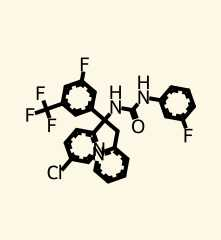 O=C(Nc1cccc(F)c1)NC(Cc1ccccn1)(c1cc(F)cc(C(F)(F)F)c1)c1ccc(Cl)cn1